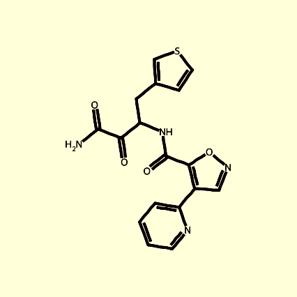 NC(=O)C(=O)C(Cc1ccsc1)NC(=O)c1oncc1-c1ccccn1